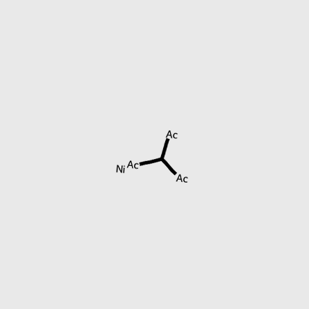 CC(=O)C(C(C)=O)C(C)=O.[Ni]